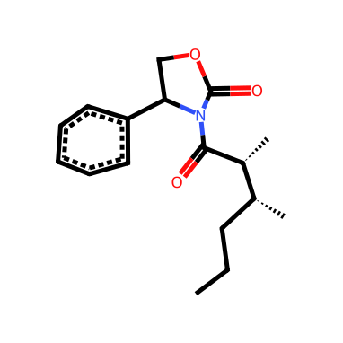 CCC[C@@H](C)[C@@H](C)C(=O)N1C(=O)OCC1c1ccccc1